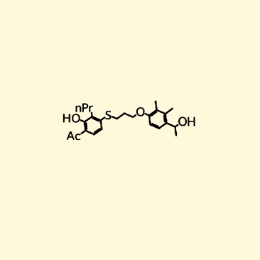 CCCc1c(SCCCOc2ccc(C(C)O)c(C)c2C)ccc(C(C)=O)c1O